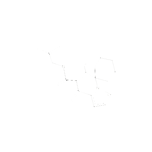 [O]C(=O)CNC(=O)C1=C(O)C2(CCCCC2)n2cccc2C1=O